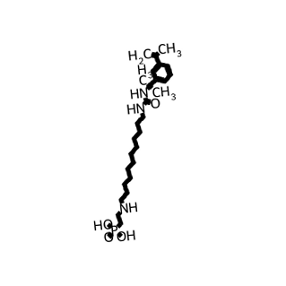 C=C(C)c1cccc(C(C)(C)NC(=O)NCCCCCCCCCCCCNCCP(=O)(O)O)c1